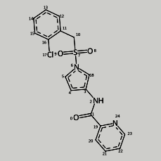 O=C(Nc1ccn(S(=O)(=O)Cc2ccccc2Cl)c1)c1ccccn1